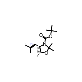 C/C(I)=C\[C@@H]1[C@@H](C)OC(C)(C)N1C(=O)OC(C)(C)C